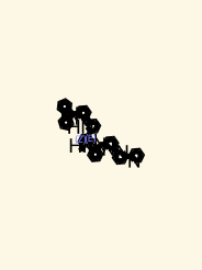 C=C/C=C\C(=N/Nc1ccccc1NC1=NC(C2CC=CC(C3=NCCC=C3)=N2)CC=C1)C1C=CC=C(c2cccc(-n3c4ccccc4c4ccccc43)n2)N1